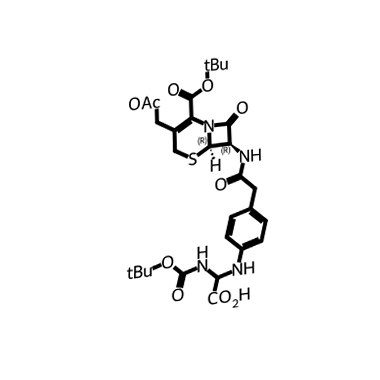 CC(=O)OCC1=C(C(=O)OC(C)(C)C)N2C(=O)[C@@H](NC(=O)Cc3ccc(NC(NC(=O)OC(C)(C)C)C(=O)O)cc3)[C@H]2SC1